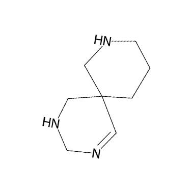 C1=NCNCC12CCCNC2